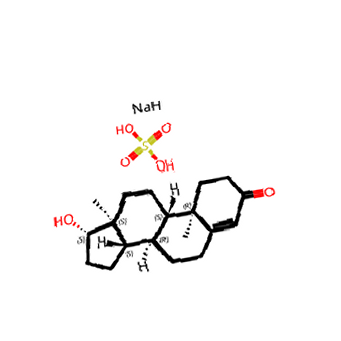 C[C@]12CC[C@H]3[C@@H](CCC4=CC(=O)CC[C@@]43C)[C@@H]1CC[C@@H]2O.O=S(=O)(O)O.[NaH]